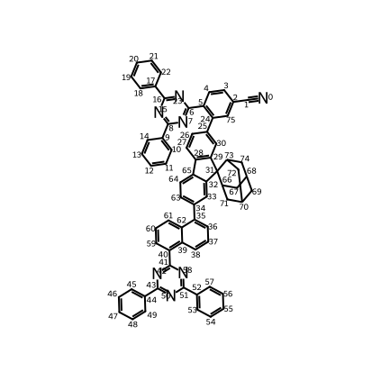 N#Cc1ccc(-c2nc(-c3ccccc3)nc(-c3ccccc3)n2)c(-c2ccc3c(c2)C2(c4cc(-c5cccc6c(-c7nc(-c8ccccc8)nc(-c8ccccc8)n7)cccc56)ccc4-3)C3CC4CC(C3)CC2C4)c1